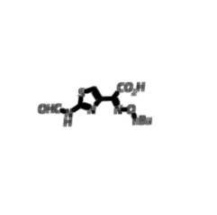 CCCCO/N=C(\C(=O)O)c1csc(NC=O)n1